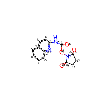 O=C(Nc1ccc2ccccc2n1)ON1C(=O)CCC1=O